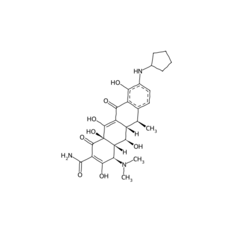 C[C@@H]1c2ccc(NC3CCCC3)c(O)c2C(=O)C2=C(O)[C@@]3(O)C(=O)C(C(N)=O)=C(O)[C@H](N(C)C)[C@H]3[C@H](O)[C@H]21